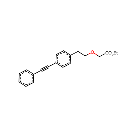 CCOC(=O)COCCc1ccc(C#Cc2ccccc2)cc1